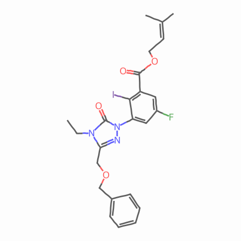 CCn1c(COCc2ccccc2)nn(-c2cc(F)cc(C(=O)OCC=C(C)C)c2I)c1=O